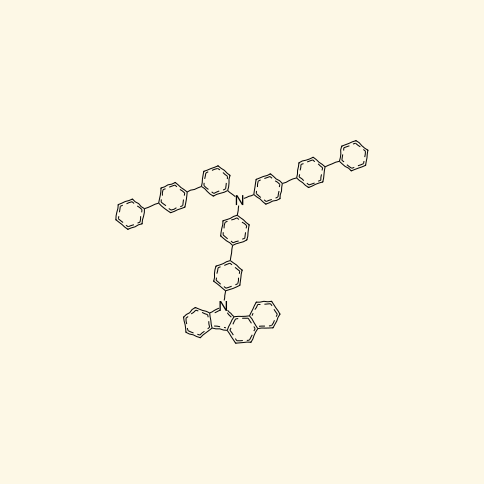 c1ccc(-c2ccc(-c3ccc(N(c4ccc(-c5ccc(-n6c7ccccc7c7ccc8ccccc8c76)cc5)cc4)c4cccc(-c5ccc(-c6ccccc6)cc5)c4)cc3)cc2)cc1